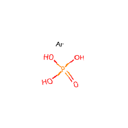 O=P(O)(O)O.[Ar]